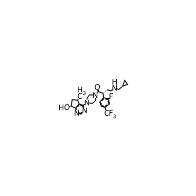 C[C@@H]1C[C@@H](O)c2ncnc(N3CCN(C(=O)[C@H](CCNCC4CC4)c4ccc(C(F)(F)F)cc4F)CC3)c21